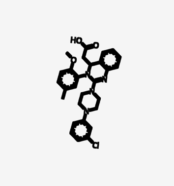 COc1ccc(C)cc1N1C(N2CCN(c3cccc(Cl)c3)CC2)=Nc2ccccc2C1CC(=O)O